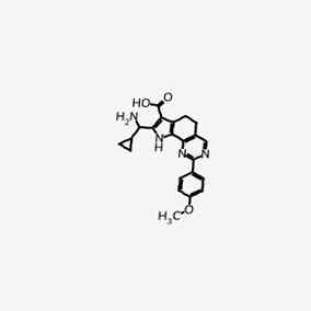 COc1ccc(-c2ncc3c(n2)-c2[nH]c(C(N)C4CC4)c(C(=O)O)c2CC3)cc1